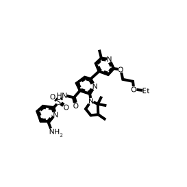 CCOCCOc1cc(-c2ccc(C(=O)NS(=O)(=O)c3cccc(N)n3)c(N3CCC(C)C3(C)C)n2)cc(C)n1